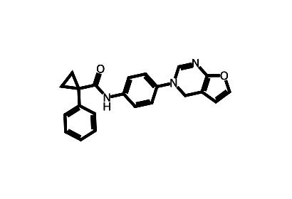 O=C(Nc1ccc(N2C=Nc3occc3C2)cc1)C1(c2ccccc2)CC1